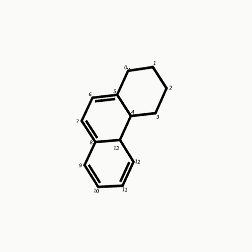 [C]1CCCC2C1=CC=C1C=CC=CC12